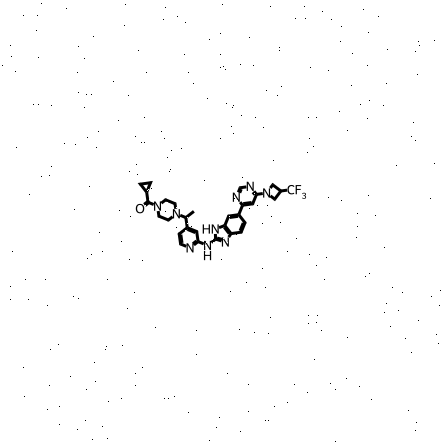 CC(c1ccnc(Nc2nc3ccc(-c4cc(N5CC(C(F)(F)F)C5)ncn4)cc3[nH]2)c1)N1CCN(C(=O)C2CC2)CC1